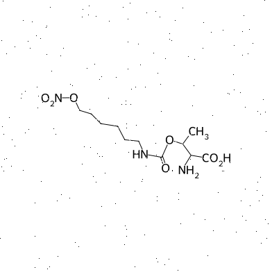 CC(OC(=O)NCCCCCCO[N+](=O)[O-])C(N)C(=O)O